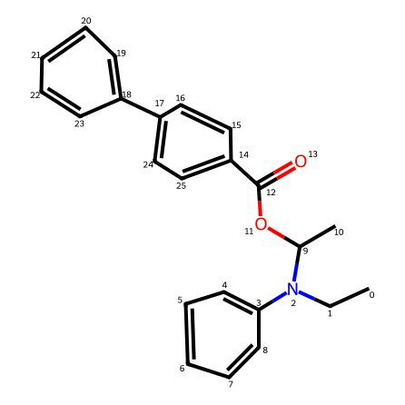 CCN(c1ccccc1)C(C)OC(=O)c1ccc(-c2ccccc2)cc1